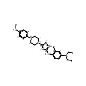 CCN(CC)c1ccc(Nc2nc(N3CCN(c4ccc(OC)cc4)CC3)ns2)c(C)c1